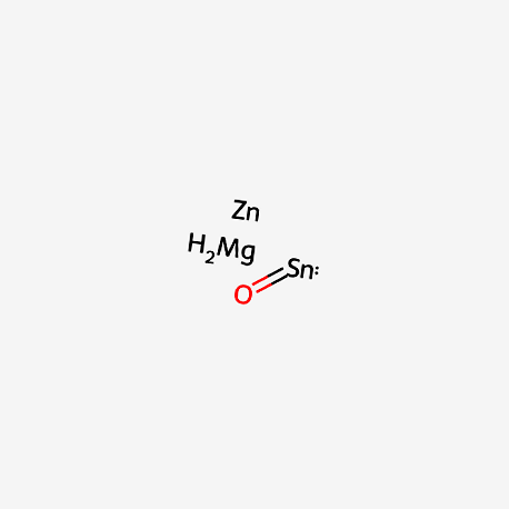 [MgH2].[O]=[Sn].[Zn]